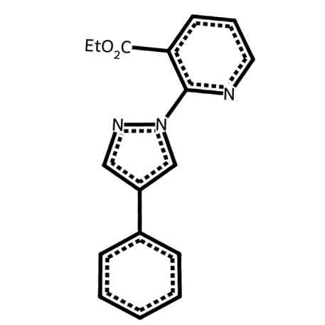 CCOC(=O)c1cccnc1-n1cc(-c2ccccc2)cn1